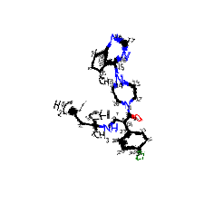 C=CCC(C)(C)NC[C@@H](C(=O)N1CCN(c2ncnc3c2[C@H](C)CC3)CC1)c1ccc(Cl)cc1